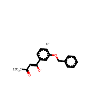 CCOC(=O)C(=O)C=C([O-])c1cccc(OCc2ccccc2)c1.[Li+]